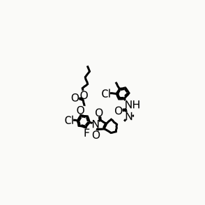 CCCCCOC(=O)COc1cc(N2C(=O)C3=C(CCCC3)C2=O)c(F)cc1Cl.Cc1ccc(NC(=O)N(C)C)cc1Cl